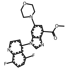 COC(=O)c1cc(N2CCOCC2)cc2c1ncn2-c1ccnc2c(F)ccc(F)c12